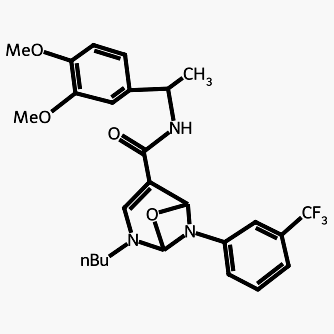 CCCCN1C=C(C(=O)NC(C)c2ccc(OC)c(OC)c2)C2OC1N2c1cccc(C(F)(F)F)c1